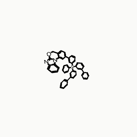 c1ccc(-c2cccc([Si](c3ccccc3)(c3cccc(-c4ccccc4)c3)c3cccc(-c4ccc5c(c4)-n4c(nc6ccccc64)OC5)c3)c2)cc1